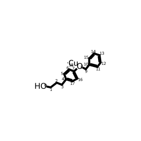 OCCCc1ccc(OCc2ccccc2)cc1.[Cu]